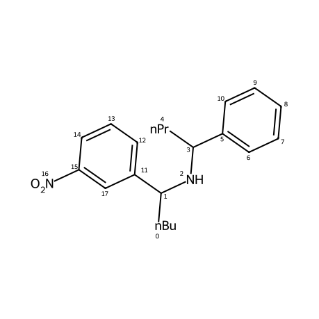 CCCCC(NC(CCC)c1ccccc1)c1cccc([N+](=O)[O-])c1